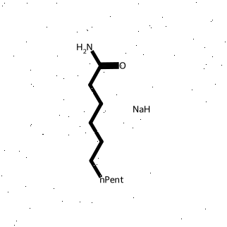 CCCCCCCCCCC(N)=O.[NaH]